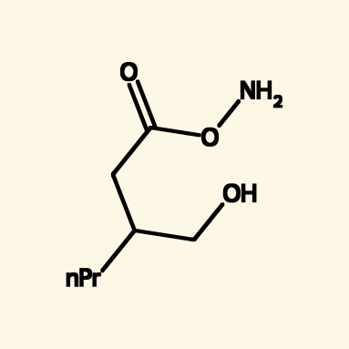 CCCC(CO)CC(=O)ON